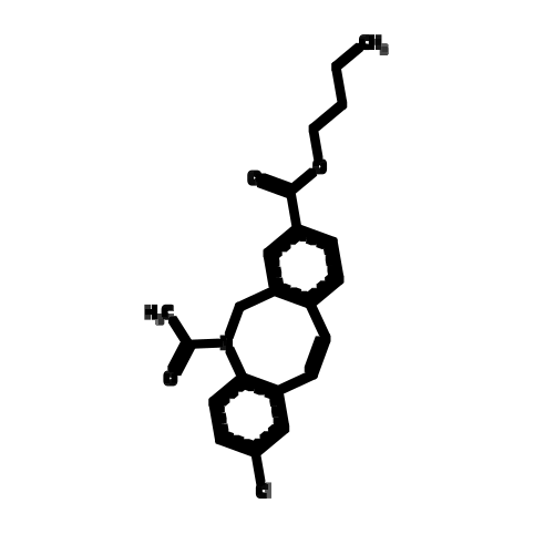 CCCCOC(=O)c1ccc2c(c1)CN(C(C)=O)c1ccc(Cl)cc1/C=C\2